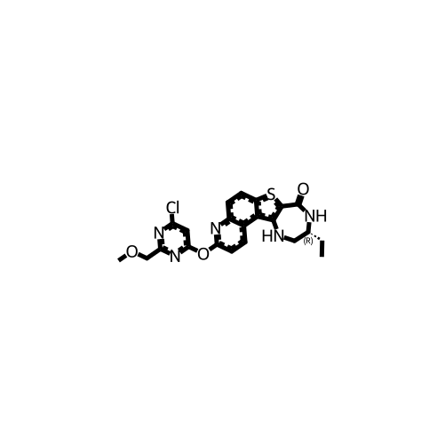 CC[C@@H]1CNc2c(sc3ccc4nc(Oc5cc(Cl)nc(COC)n5)ccc4c23)C(=O)N1